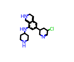 ClC1C=NCC(c2cc(NC3CCNCC3)c3c(c2)=CCNC=3)C1